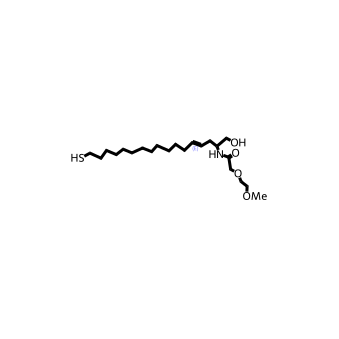 COCCOCC(=O)NC(CO)C/C=C/CCCCCCCCCCCCS